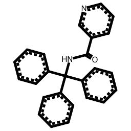 O=C(NC(c1ccccc1)(c1ccccc1)c1ccccc1)c1cccnc1